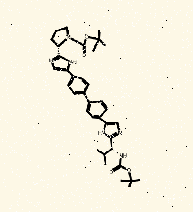 CC(C)[C@@H](NC(=O)OC(C)(C)C)c1ncc(-c2ccc(-c3ccc(-c4cnc([C@@H]5CCCN5C(=O)OC(C)(C)C)[nH]4)cc3)cc2)[nH]1